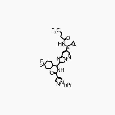 CCCn1cc(C(=O)N[C@H](c2cn3ncc([C@@H](NC(=O)CCC(F)(F)F)C4CC4)cc3n2)C2CCC(F)(F)CC2)cn1